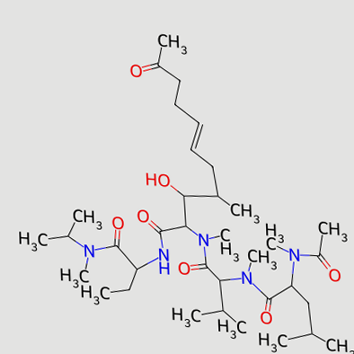 CCC(NC(=O)C(C(O)C(C)C/C=C/CCC(C)=O)N(C)C(=O)C(C(C)C)N(C)C(=O)C(CC(C)C)N(C)C(C)=O)C(=O)N(C)C(C)C